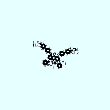 Cc1ccccc1Nc1ccc(Sc2ccc(-c3ccc(C(C)(C)C)cc3)cc2)c2c1C(=O)c1c(Nc3ccccc3C)ccc(Sc3ccc(-c4ccc(C(C)(C)C)cc4)cc3)c1C2=O